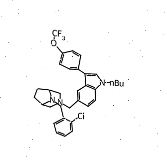 CCCCn1cc(-c2ccc(OC(F)(F)F)cc2)c2cc(CN3CC4CCC(C3)N4Cc3ccccc3Cl)ccc21